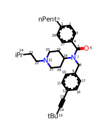 CCCCCc1ccc(C(=O)N(Cc2ccc(C#CC(C)(C)C)cc2)C2CCN(CCC(C)C)CC2)cc1